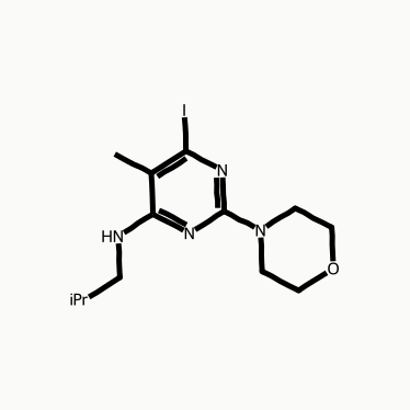 Cc1c(I)nc(N2CCOCC2)nc1NCC(C)C